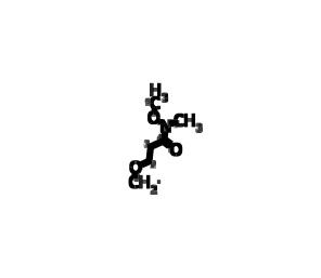 [CH2]OCCC(=O)N(C)OC